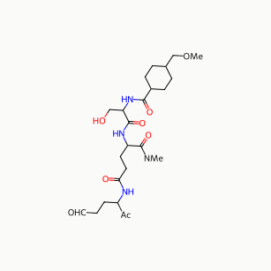 CNC(=O)C(CCC(=O)NC(CCC=O)C(C)=O)NC(=O)C(CO)NC(=O)C1CCC(COC)CC1